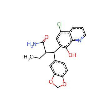 CCC(C(N)=O)C(c1ccc2c(c1)OCO2)c1cc(Cl)c2cccnc2c1O